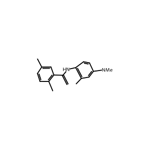 C=C(Nc1ccc(NC)cc1C)c1cc(C)ccc1C